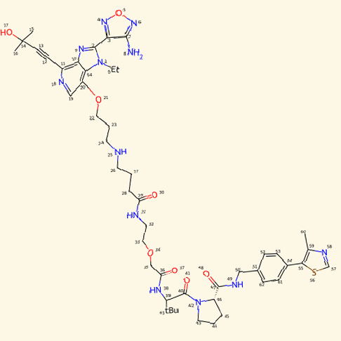 CCn1c(-c2nonc2N)nc2c(C#CC(C)(C)O)ncc(OCCCNCCCC(=O)NCCOCC(=O)NC(C(=O)N3CCC[C@H]3C(=O)NCc3ccc(-c4scnc4C)cc3)C(C)(C)C)c21